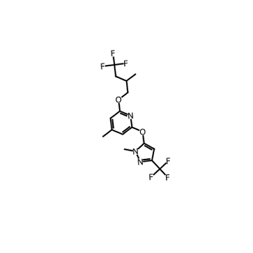 Cc1cc(OCC(C)CC(F)(F)F)nc(Oc2cc(C(F)(F)F)nn2C)c1